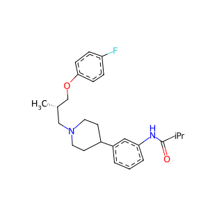 CC(C)C(=O)Nc1cccc(C2CCN(C[C@H](C)COc3ccc(F)cc3)CC2)c1